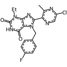 CCn1c(=O)[nH]c(=O)c2c1nc(-c1ncc(Cl)nc1C)n2Cc1ccc(F)cc1